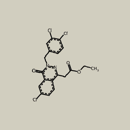 CCOC(=O)Cc1nn(Cc2ccc(Cl)c(Cl)c2)c(=O)c2cc(Cl)ccc12